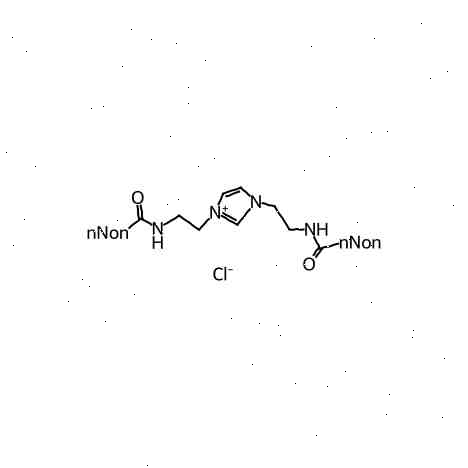 CCCCCCCCCC(=O)NCCn1cc[n+](CCNC(=O)CCCCCCCCC)c1.[Cl-]